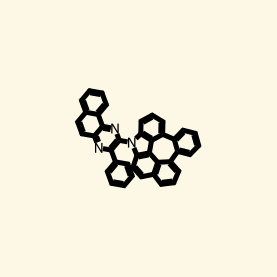 c1ccc(-c2nc3ccc4ccccc4c3nc2-n2c3cccc4c3c3c5c(cccc5ccc32)-c2ccccc2-4)cc1